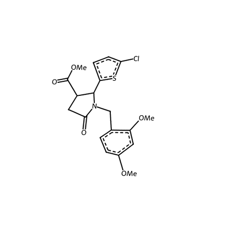 COC(=O)C1CC(=O)N(Cc2ccc(OC)cc2OC)C1c1ccc(Cl)s1